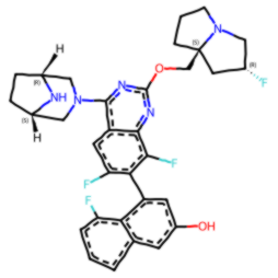 Oc1cc(-c2c(F)cc3c(N4C[C@H]5CC[C@@H](C4)N5)nc(OC[C@@]45CCCN4C[C@H](F)C5)nc3c2F)c2c(F)cccc2c1